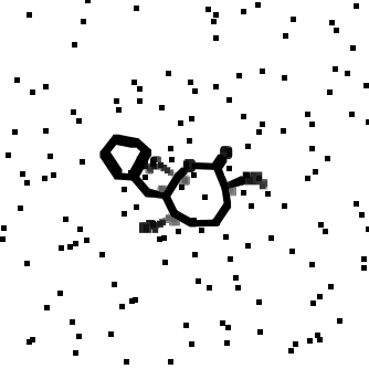 CCC[C@H]1CCC[C@H](N)C(=O)O[C@@H](C)[C@@H]1Cc1ccccc1